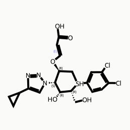 O=C(O)/C=C/O[C@H]1C[SH](c2ccc(Cl)c(Cl)c2)[C@H](CO)[C@H](O)[C@@H]1n1cc(C2CC2)nn1